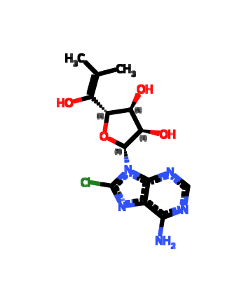 CC(C)=C(O)[C@H]1O[C@@H](n2c(Cl)nc3c(N)ncnc32)[C@H](O)[C@@H]1O